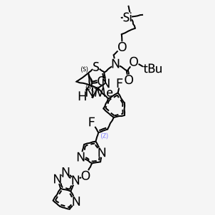 CNC(=O)[C@]12C[C@H]1[C@@](C)(c1cc(/C=C(\F)c3cnc(On4nnc5cccnc54)cn3)ccc1F)N=C(N(COCC[Si](C)(C)C)C(=O)OC(C)(C)C)S2